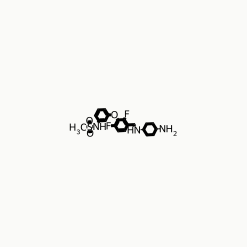 CS(=O)(=O)Nc1cccc(Oc2c(F)ccc(CN[C@H]3CC[C@@H](N)CC3)c2F)c1